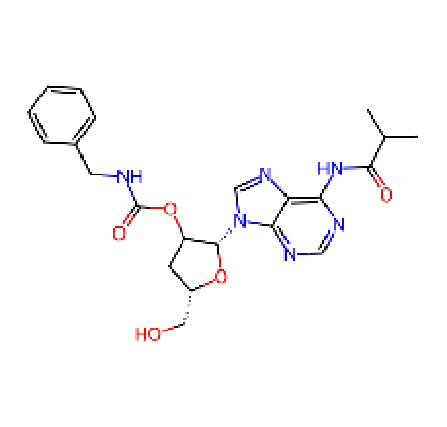 CC(C)C(=O)Nc1ncnc2c1ncn2[C@@H]1O[C@H](CO)CC1OC(=O)NCc1ccccc1